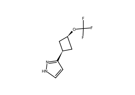 FC(F)(F)O[C@H]1C[C@@H](c2cc[nH]n2)C1